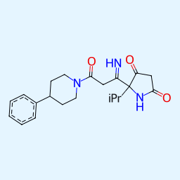 CC(C)C1(C(=N)CC(=O)N2CCC(c3ccccc3)CC2)NC(=O)CC1=O